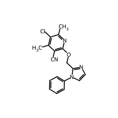 Cc1nc(OCc2nccn2-c2ccccc2)c(C#N)c(C)c1Cl